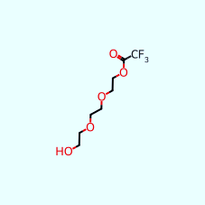 O=C(OCCOCCOCCO)C(F)(F)F